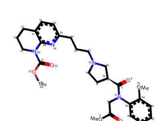 COC(=O)CN(C(=O)[C@H]1CCN(CCCc2ccc3c(n2)N(C(=O)OC(C)(C)C)CCC3)C1)c1ccccc1OC